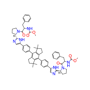 COC(=O)NC(Cc1ccccc1)C(=O)N1CCC[C@H]1c1ncc(-c2ccc(-c3c4c(c(-c5ccc(-c6cnc([C@@H]7CCCN7C(=O)C(Cc7ccccc7)NC(=O)OC)[nH]6)cc5)c5c3C(C)(C)CC5)C(C)(C)CC4)cc2)[nH]1